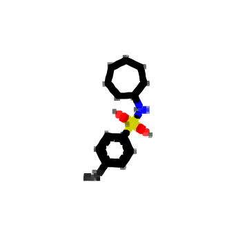 CNc1ccc(S(=O)(=O)NC2CCCCCC2)cc1